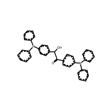 O=C(c1ccc(N(c2ccccc2)c2ccccc2)cc1)C(O)c1ccc(N(c2ccccc2)c2ccccc2)cc1